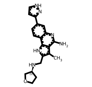 Cc1c(CN[C@H]2CCOC2)[nH]c2c1c(N)nc1cc(-c3cc[nH]n3)ccc12